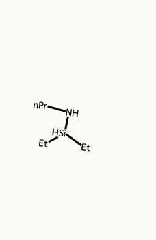 CCCN[SiH](CC)CC